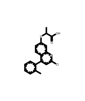 Cc1ccccc1-c1cc(Cl)nc2cc(OC(C)C(=O)O)ccc12